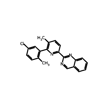 Cc1ccc(Cl)cc1-c1nc(-c2ncc3ccccc3n2)ccc1C